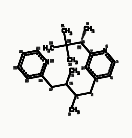 CC(Cc1ccnc([C@@H](C)C(C)(C)C)c1)C(C)Cc1ccccn1